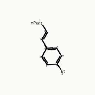 [CH2]Cc1ccc(C=CCCCCC)cc1